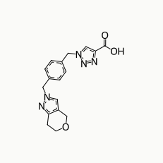 O=C(O)c1cn(Cc2ccc(Cn3cc4c(n3)CCOC4)cc2)nn1